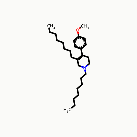 CCCCCCCCC1=C(c2ccc(OC)cc2)CCN(CCCCCCCC)C1